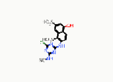 N#CNc1nc(Cl)nc(Nc2ccc3c(O)cc(S(=O)(=O)O)cc3c2S(=O)(=O)O)n1